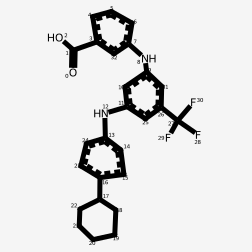 O=C(O)c1cccc(Nc2cc(Nc3ccc(C4CCCCC4)cc3)cc(C(F)(F)F)c2)c1